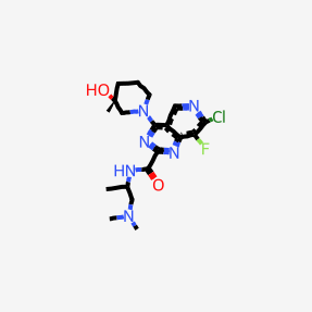 CC(CN(C)C)NC(=O)c1nc(N2CCC[C@@](C)(O)C2)c2cnc(Cl)c(F)c2n1